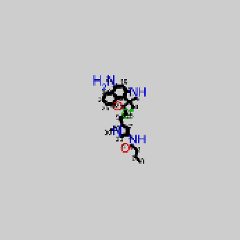 CCCC(=O)Nc1cc(/C=C/C(=O)C2(CCl)CNc3cc(N)c4ccccc4c32)n(C)c1